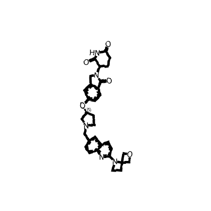 O=C1CCC(N2Cc3cc(O[C@H]4CCN(Cc5ccc6nc(N7CCC78COC8)ccc6c5)C4)ccc3C2=O)C(=O)N1